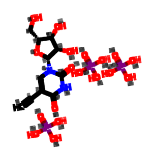 C#Cc1cn([C@@H]2O[C@H](CO)[C@@H](O)[C@H]2O)c(=O)[nH]c1=O.O=P(O)(O)O.O=P(O)(O)O.O=P(O)(O)O